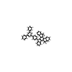 CC1(C)c2ccccc2-c2c1c1c(c3c4ccccc4n(-c4ccc(-c5nc(-c6ccccc6)cc(-c6ccccc6)n5)cc4)c23)C(C)(C)c2ccccc2-1